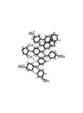 Cc1cccc(C)c1-c1cc2c3c(c1)N(c1ccc(C(C)(C)C)cc1-c1ccccc1)c1cc4c(cc1B3N(c1ccc(C(C)(C)C)cc1)c1ccc(N(c3ccc(C(C)(C)C)cc3)c3ccc(C(C)(C)C)cc3)cc1-2)sc1ccccc14